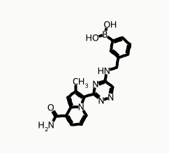 Cc1cc2c(C(N)=O)cccn2c1-c1nncc(NCc2cccc(B(O)O)c2)n1